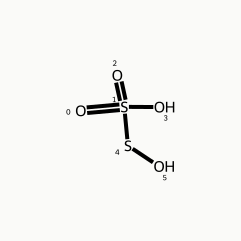 O=S(=O)(O)SO